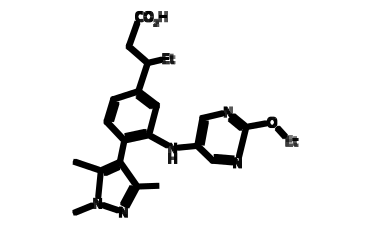 CCOc1ncc(Nc2cc(C(CC)CC(=O)O)ccc2-c2c(C)nn(C)c2C)cn1